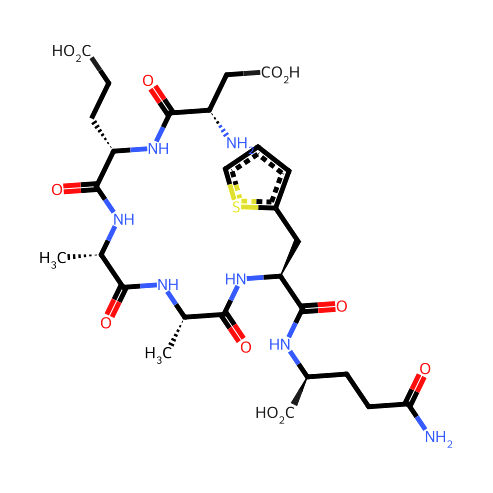 C[C@H](NC(=O)[C@H](C)NC(=O)[C@H](CCC(=O)O)NC(=O)[C@@H](N)CC(=O)O)C(=O)N[C@@H](Cc1cccs1)C(=O)N[C@@H](CCC(N)=O)C(=O)O